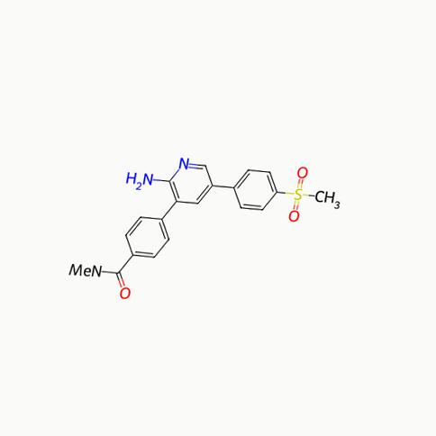 CNC(=O)c1ccc(-c2cc(-c3ccc(S(C)(=O)=O)cc3)cnc2N)cc1